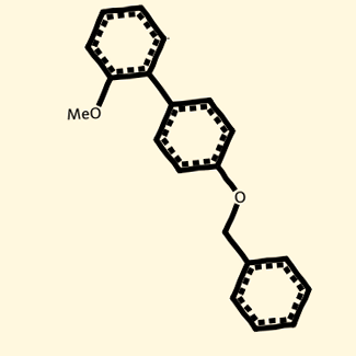 COc1ccc[c]c1-c1ccc(OCc2ccccc2)cc1